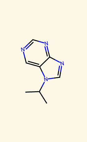 CC(C)n1cnc2ncncc21